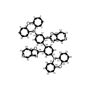 c1ccc2c(c1)Oc1ccccc1N2c1ccc(-c2ccc(N3c4ccccc4Oc4ccccc43)cc2-c2nc3cnccc3o2)c(-c2nc3cnccc3o2)c1